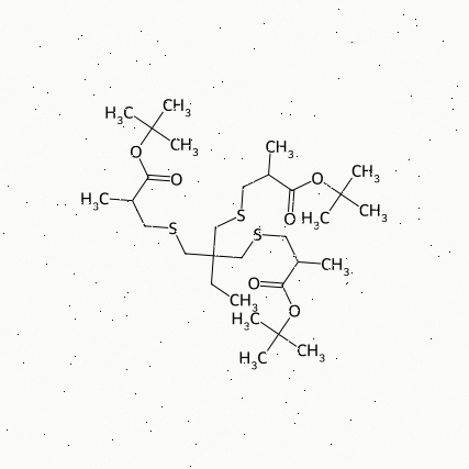 CCC(CSCC(C)C(=O)OC(C)(C)C)(CSCC(C)C(=O)OC(C)(C)C)CSCC(C)C(=O)OC(C)(C)C